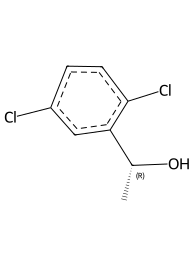 C[C@@H](O)c1cc(Cl)ccc1Cl